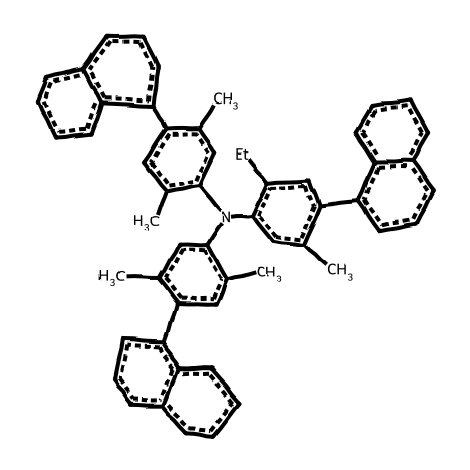 CCc1cc(-c2cccc3ccccc23)c(C)cc1N(c1cc(C)c(-c2cccc3ccccc23)cc1C)c1cc(C)c(-c2cccc3ccccc23)cc1C